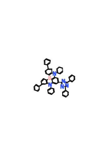 C1=CC(N2c3cc(-c4ccccc4)ccc3B3c4ccc(-c5ccccc5)cc4N(c4ccccc4)c4cc(-c5nc(-c6ccccc6)nc(-c6ccccc6)n5)cc2c43)=CCC1